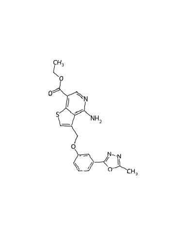 CCOC(=O)c1cnc(N)c2c(COc3cccc(-c4nnc(C)o4)c3)csc12